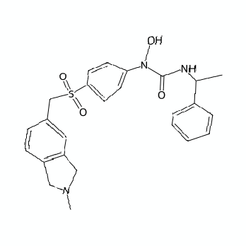 CC(NC(=O)N(O)c1ccc(S(=O)(=O)Cc2ccc3c(c2)CN(C)C3)cc1)c1ccccc1